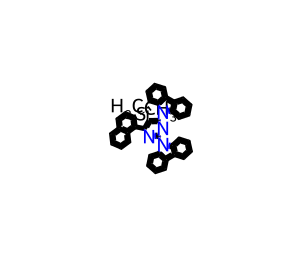 C[Si]1(C)c2ccc3ccccc3c2-c2nc(-n3c4ccccc4c4ccccc43)nc(-n3c4ccccc4c4ccccc43)c21